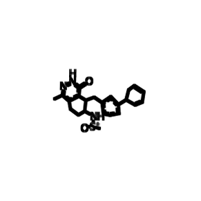 Cc1n[nH]c(=O)c2c1CCC(N[S+](C)[O-])C2Cc1cccc(C2C=CC=CC2)c1